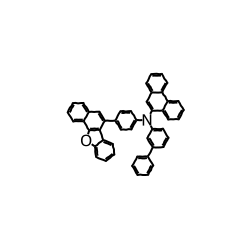 c1ccc(-c2cccc(N(c3ccc(-c4cc5ccccc5c5oc6ccccc6c45)cc3)c3cc4ccccc4c4ccccc34)c2)cc1